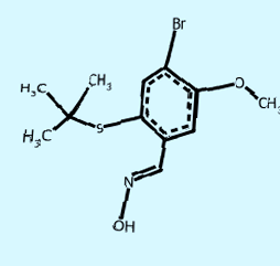 COc1cc(/C=N/O)c(SC(C)(C)C)cc1Br